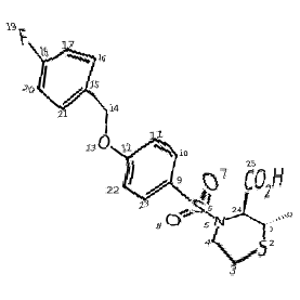 C[C@@H]1SCCN(S(=O)(=O)c2ccc(OCc3ccc(F)cc3)cc2)[C@H]1C(=O)O